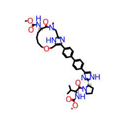 COC(=O)N[C@H]1CCCCOCc2[nH]c(nc2-c2ccc(-c3ccc(-c4c[nH]c([C@@H]5CCCN5C(=O)[C@@H](NC(=O)OC)C(C)C)n4)cc3)cc2)CN(C)C1=O